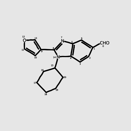 O=Cc1ccc2c(c1)nc(-c1ccoc1)n2C1CCCCC1